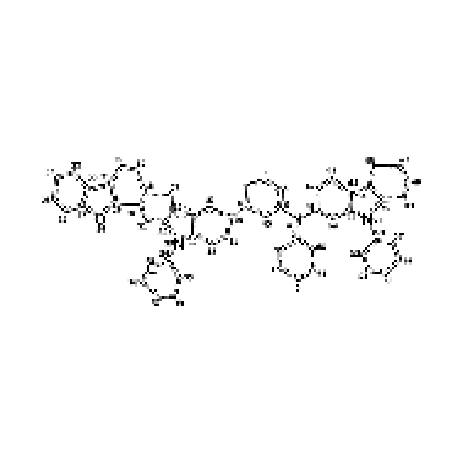 c1ccc(N(c2cccc(-c3ccc4c(c3)c3cc5ccc6c7ccccc7oc6c5cc3n4-c3ccccc3)c2)c2ccc3c4ccccc4n(-c4ccccc4)c3c2)cc1